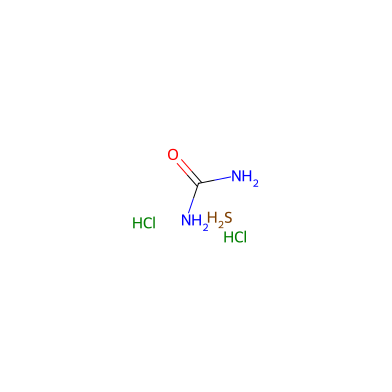 Cl.Cl.NC(N)=O.S